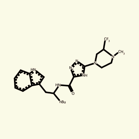 CCCCC(Cc1c[nH]c2ccccc12)NC(=O)c1nnc(N2CCN(C)C(C(F)(F)F)C2)[nH]1